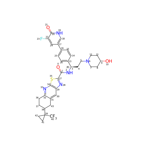 O=C(N[C@H](CCN1CCC(O)CC1)c1ccc(-c2c[nH]c(=O)c(F)c2)cc1)c1nc2cc3c(nc2s1)CCC(C1(C(F)(F)F)CC1)C3